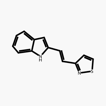 C(=C\c1cc2ccccc2[nH]1)/c1ccsn1